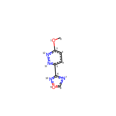 COc1ccc(-c2ncon2)nn1